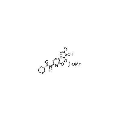 CC[C@H]1O[C@@H](n2ccc(NC(=O)c3ccccc3)nc2=O)C(OCC(C)OC)[C@H]1O